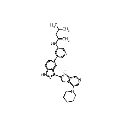 C=C(CC(C)C)Nc1cncc(-c2ccc3[nH]nc(-c4cc5c(N6CCCCC6)cncc5[nH]4)c3c2)c1